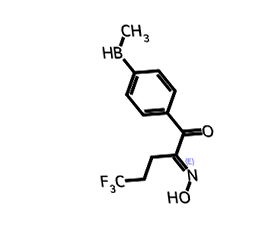 CBc1ccc(C(=O)/C(CCC(F)(F)F)=N/O)cc1